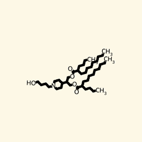 CCCCCCCCCC(CCCC)C(=O)OCC(COC(=O)C(CCCC)CCCCCCCCC)C1CCN(CCCCO)CC1